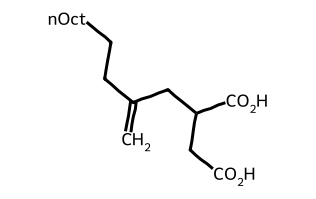 C=C(CCCCCCCCCC)CC(CC(=O)O)C(=O)O